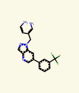 N/C=C\C(=C/N)Cn1ncc2ncc(-c3cccc(C(F)(F)F)c3)cc21